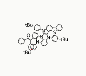 CC(C)(C)c1ccc(N2c3cccc4c3B(c3ccc5oc(-c6ccccc6)c(-c6ccccc6)c5c32)c2c(c3c5sc6ccccc6c5ccc3n2-c2ccc(C(C)(C)C)cc2)N4c2ccc(C(C)(C)C)cc2)cc1